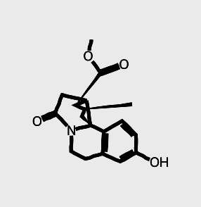 COC(=O)[C@H]1C2CC(=O)N3CCc4cc(O)ccc4[C@@]23C[C@@H]1C